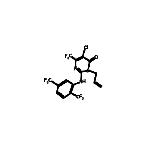 C=CCn1c(Nc2cc(C(F)(F)F)ccc2C(F)(F)F)nc(C(F)(F)F)c(Cl)c1=O